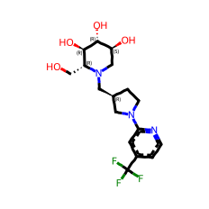 OC[C@@H]1[C@@H](O)[C@H](O)[C@@H](O)CN1C[C@H]1CCN(c2cc(C(F)(F)F)ccn2)C1